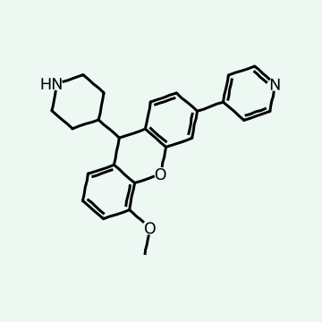 COc1cccc2c1Oc1cc(-c3ccncc3)ccc1C2C1CCNCC1